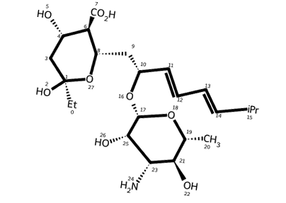 CC[C@]1(O)C[C@H](O)[C@@H](C(=O)O)[C@H](C[C@H](/C=C/C=C/C(C)C)O[C@@H]2O[C@H](C)[C@@H](O)[C@H](N)[C@@H]2O)O1